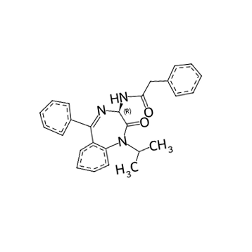 CC(C)N1C(=O)[C@H](NC(=O)Cc2ccccc2)N=C(c2ccccc2)c2ccccc21